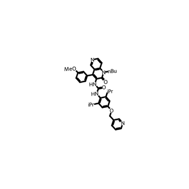 CCCCn1c(=O)c(NC(=O)Nc2c(C(C)C)cc(OCc3cccnc3)cc2C(C)C)c(-c2cccc(OC)c2)c2cnccc21